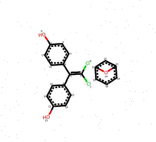 Oc1ccc(C(=C(Cl)Cl)c2ccc(O)cc2)cc1.c1cc2cc(c1)O2